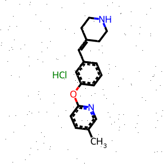 Cc1ccc(Oc2cccc(C=C3CCNCC3)c2)nc1.Cl